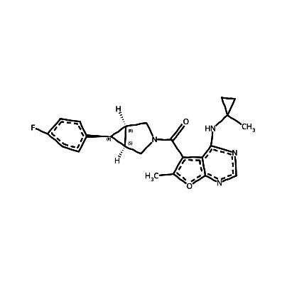 Cc1oc2ncnc(NC3(C)CC3)c2c1C(=O)N1C[C@@H]2[C@H](C1)[C@@H]2c1ccc(F)cc1